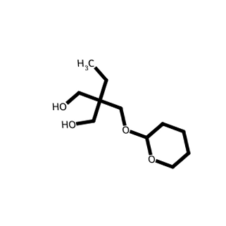 CCC(CO)(CO)COC1CCCCO1